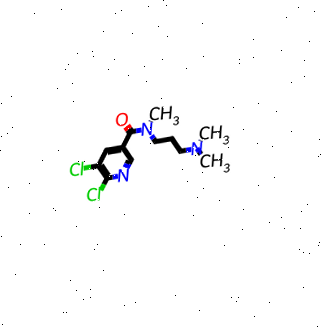 CN(C)CCCN(C)C(=O)c1cnc(Cl)c(Cl)c1